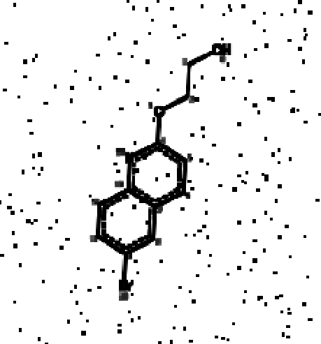 OCCOc1ccc2cc(Br)ccc2n1